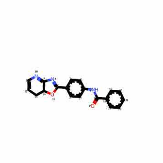 O=C(Nc1ccc(C2=NC3=NC=CCC3O2)cc1)c1ccccc1